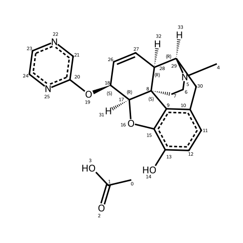 CC(=O)O.CN1CC[C@]23c4c5ccc(O)c4O[C@H]2[C@@H](Oc2cnccn2)C=C[C@H]3[C@H]1C5